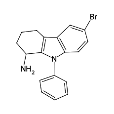 NC1CCCc2c1n(-c1ccccc1)c1ccc(Br)cc21